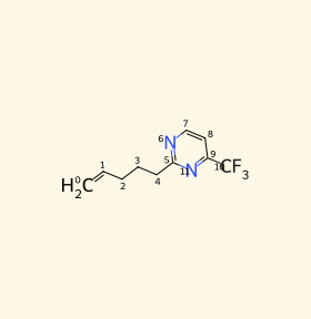 C=CCCCc1nccc(C(F)(F)F)n1